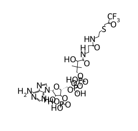 CC(C)(COP(=O)(O)OP(=O)(O)OC[C@H]1O[C@@H](n2cnc3c(N)ncnc32)[C@H](O)[C@@H]1OP(=O)(O)O)[C@@H](O)C(=O)NCCC(=O)NCCSCC(=O)C(F)(F)F